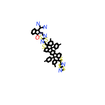 Cc1ccc(C2(c3ccc(C)cc3)c3cc4c(cc3-c3ccc5sc(-c6nc7scnc7s6)cc5c32)C(c2ccc(C)cc2)(c2ccc(C)cc2)c2c-4ccc3sc(-c4nc5sc(/C=C6\C(=O)c7ccccc7C6=C(C#N)C#N)nc5s4)cc23)cc1